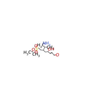 CC(C)OS(=O)(=O)CCC(CC(O)C=CC=O)C(C)C.N